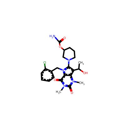 CC(O)c1c(N2CCCC(OC(N)=O)C2)n(Cc2ccccc2Cl)c2c(=O)n(C)c(=O)n(C)c12